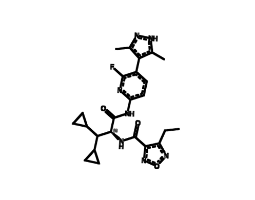 CCc1nonc1C(=O)N[C@H](C(=O)Nc1ccc(-c2c(C)n[nH]c2C)c(F)n1)C(C1CC1)C1CC1